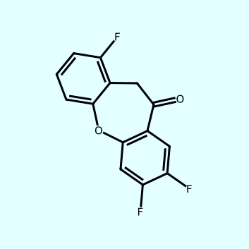 O=C1Cc2c(F)cccc2Oc2cc(F)c(F)cc21